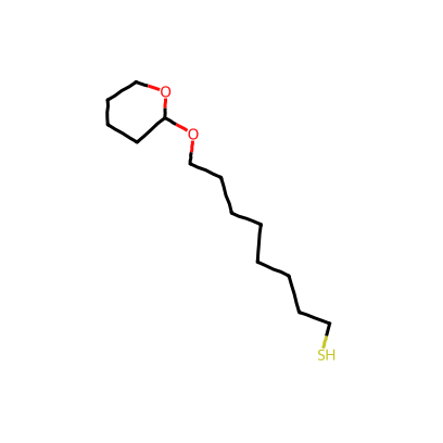 SCCCCCCCCOC1CCCCO1